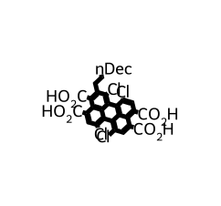 CCCCCCCCCCCCc1c(C(=O)O)c2c(C(=O)O)cc(Cl)c3c4c(Cl)cc(C(=O)O)c5c(C(=O)O)cc(Cl)c(c(c1Cl)c23)c54